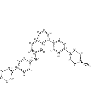 CN1CCN(c2ccc(-c3cccc4cnc(Nc5ccc(N6CCOCC6)nc5)nc34)cn2)CC1